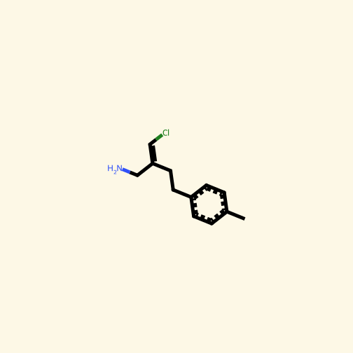 Cc1ccc(CC/C(=C\Cl)CN)cc1